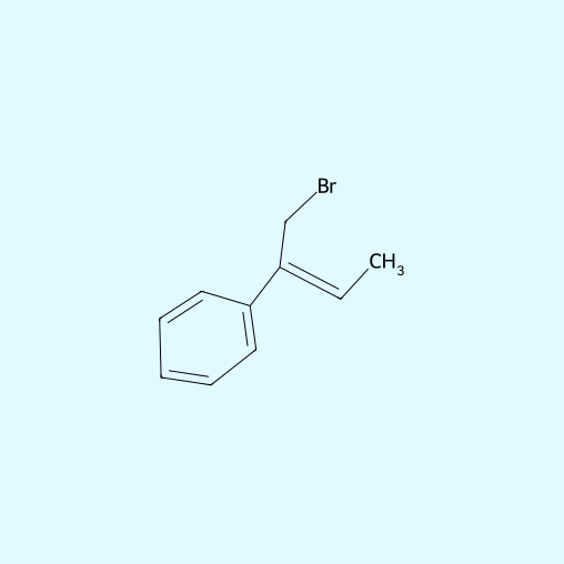 CC=C(CBr)c1ccccc1